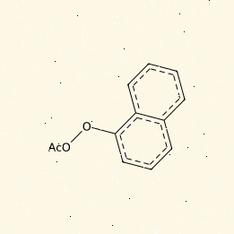 CC(=O)OOc1cccc2ccccc12